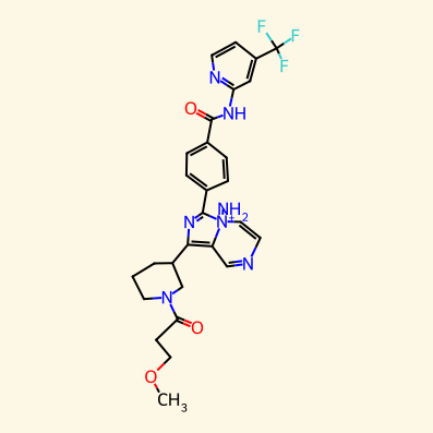 COCCC(=O)N1CCCC(C2=C3C=NC=C[N+]3(N)C(c3ccc(C(=O)Nc4cc(C(F)(F)F)ccn4)cc3)=N2)C1